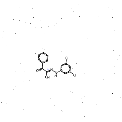 N#C/C(=N\Nc1cc(Cl)cc(Cl)c1)C(=O)c1ccccc1